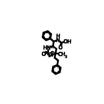 CC(C)(CCc1ccccc1)C[C@@H](NC(=O)O)C(NC(=O)O)c1ccccc1